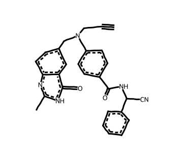 C#CCN(Cc1ccc2nc(C)[nH]c(=O)c2c1)c1ccc(C(=O)NC(C#N)c2ccccc2)cc1